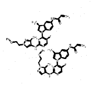 C=CC(=O)Nc1ccc2c(c1)c(C)cn2-c1nc(Nc2cn(CCOC(C)C)nc2C)ncc1F.C=CC(=O)Nc1ccc2c(c1)c(C)cn2-c1nc(Nc2cnn(CCOC(C)C)c2C)ncc1F